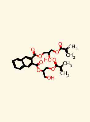 C=C(C)C(=O)OCC(O)COC(=O)c1cc2ccccc2cc1C(=O)OC(CO)COC(=O)C(=C)C